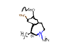 CCCN1CCc2cc(OC)c(Br)cc2[C@H](C)C1